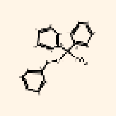 O=C(O)C(OCc1ccccc1)(c1ccccc1)c1ccccc1